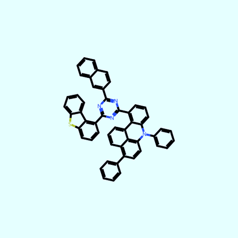 c1ccc(-c2ccc3c4c(cccc24)-c2c(-c4nc(-c5ccc6ccccc6c5)nc(-c5cccc6sc7ccccc7c56)n4)cccc2N3c2ccccc2)cc1